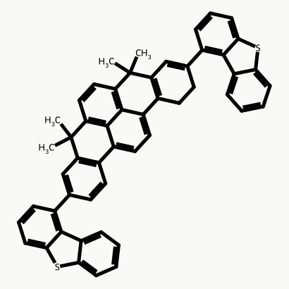 CC1(C)C2=C(CCC(c3cccc4sc5ccccc5c34)=C2)c2ccc3c4c(ccc1c24)C(C)(C)c1cc(-c2cccc4sc5ccccc5c24)ccc1-3